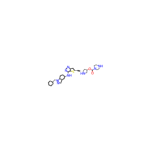 O=C(O[C@H]1CN[C@H](C#Cc2cc3ncnc(Nc4ccc5c(cnn5Cc5ccccc5)c4)c3s2)C1)N1CCNCC1